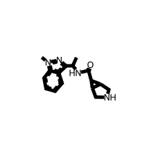 CC(NC(=O)C1C2CNCC21)c1nn(C)c2ccccc12